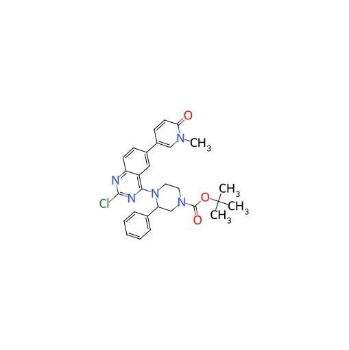 Cn1cc(-c2ccc3nc(Cl)nc(N4CCN(C(=O)OC(C)(C)C)CC4c4ccccc4)c3c2)ccc1=O